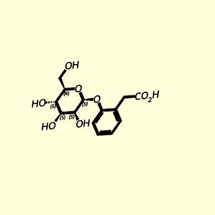 O=C(O)Cc1ccccc1O[C@@H]1O[C@H](CO)[C@@H](O)[C@H](O)[C@@H]1O